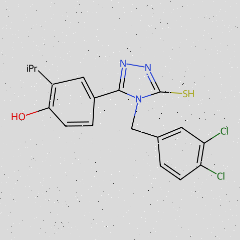 CC(C)c1cc(-c2nnc(S)n2Cc2ccc(Cl)c(Cl)c2)ccc1O